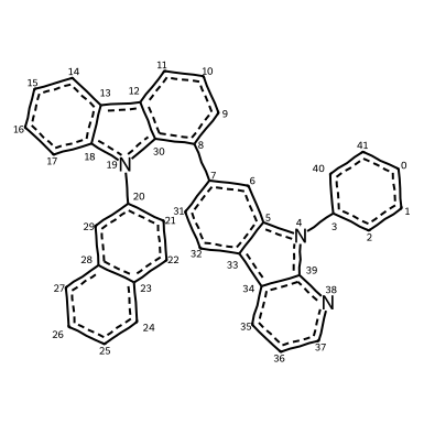 c1ccc(-n2c3cc(-c4cccc5c6ccccc6n(-c6ccc7ccccc7c6)c45)ccc3c3cccnc32)cc1